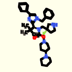 CC(C)(C)[C@H](c1nc(-c2ccccc2)cn1Cc1ccccc1)N(C[C@]1(F)CCNC1)C(=O)ON1CCC(N2CCCCC2)CC1